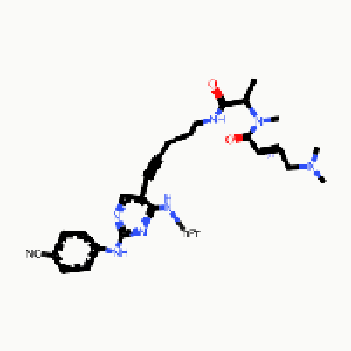 CCCNc1nc(Nc2ccc(C#N)cc2)ncc1C#CCCCNC(=O)C(C)N(C)C(=O)/C=C/CN(C)C